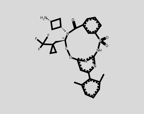 Cc1cccc(C)c1-c1cc2nc(n1)NS(=O)(=O)c1cccc(c1)C(=O)N([C@H]1C[C@@H](N)C1)[C@H](CC1(C(F)(F)F)CC1)CO2